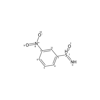 N=[SH](=O)c1cccc([N+](=O)[O-])c1